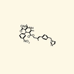 COC(=O)C1=C(C)NC(C)=C(C(=O)OCC(C)=Cc2ccc(Cn3ccnc3)cc2)C1c1cccc([N+](=O)[O-])c1